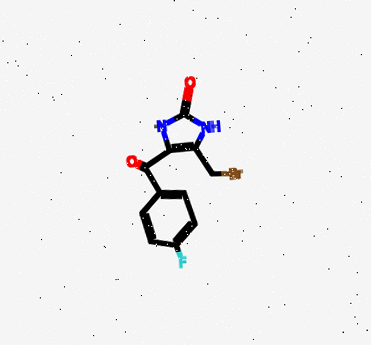 O=C1[N]C(C(=O)c2ccc(F)cc2)=C(CBr)N1